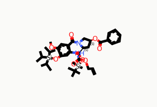 C=CCOC(=O)Nc1cc(O[Si](C(C)C)(C(C)C)C(C)C)c(OC)cc1C(=O)N1C[C@@H](OC(=O)c2ccccc2)C[C@H]1CO[Si](C)(C)C(C)(C)C